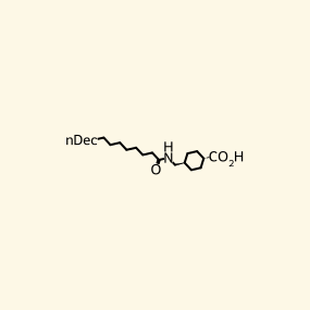 CCCCCCCCCCCCCCCCCC(=O)NC[C@H]1CC[C@H](C(=O)O)CC1